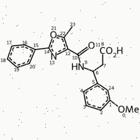 COc1cccc(C(CC(=O)O)NC(=O)c2nc(-c3ccccc3)oc2C)c1